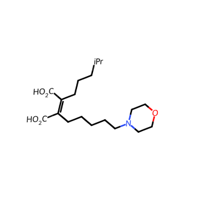 CC(C)CCCC(C(=O)O)=C(CCCCCN1CCOCC1)C(=O)O